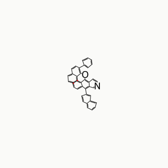 c1ccc(-c2ccc3ccccc3c2Oc2c3ccccc3c(-c3ccc4ccccc4c3)c3cnccc23)cc1